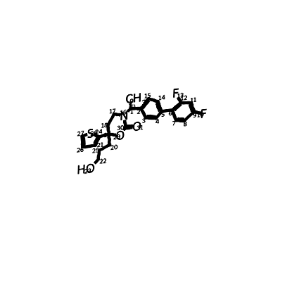 C[C@@H](c1ccc(-c2ccc(F)cc2F)cc1)N1CCC(CCCO)(c2cccs2)OC1=O